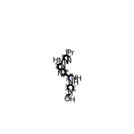 CC(C)c1cnnc(Nc2ccc3ncc(/C(C=N)=C/NC4CCN(CCO)CC4)cc3n2)c1